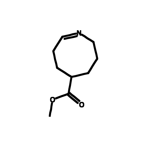 COC(=O)C1CCC=NCCC1